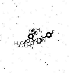 CC(C)COc1ccc(S(C)(=O)=O)cc1C(=O)N1CCc2nc(-c3ccc(F)cc3)sc2C1